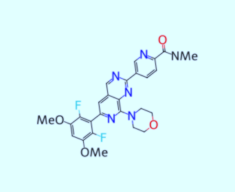 CNC(=O)c1ccc(-c2ncc3cc(-c4c(F)c(OC)cc(OC)c4F)nc(N4CCOCC4)c3n2)cn1